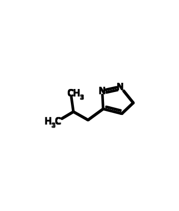 CC(C)CC1=CCN=N1